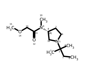 CCC(C)(C)N1CC[C@@H](N(C)C(=O)COC)C1